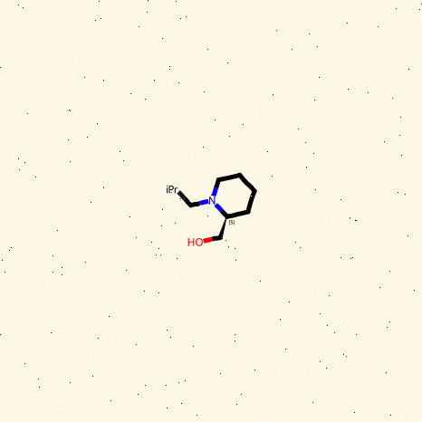 CC(C)CN1CCCC[C@H]1CO